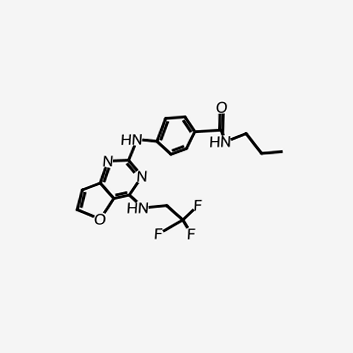 CCCNC(=O)c1ccc(Nc2nc(NCC(F)(F)F)c3occc3n2)cc1